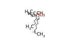 C/C=C\CCC/C=C/[SH](C)(=O)C(C)(/C=C\C)CCCC